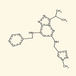 CC(C)c1nnc2c(NCc3ccccc3)cc(NCc3cnn(C)c3)nn12